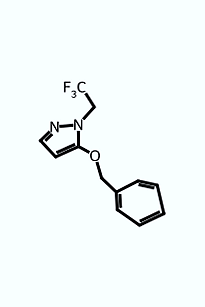 FC(F)(F)Cn1nccc1OCc1ccccc1